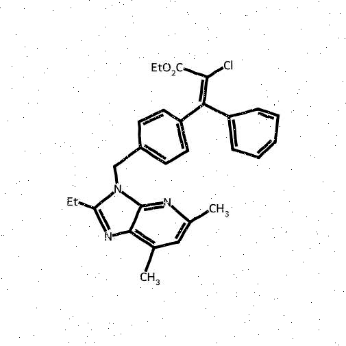 CCOC(=O)/C(Cl)=C(/c1ccccc1)c1ccc(Cn2c(CC)nc3c(C)cc(C)nc32)cc1